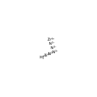 [Hf+4].[N-3].[N-3].[N-3].[N-3].[Ti+4].[Zr+4]